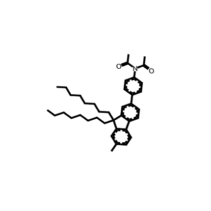 CCCCCCCCC1(CCCCCCCC)c2cc(C)ccc2-c2ccc(-c3ccc(N(C(C)=O)C(C)=O)cc3)cc21